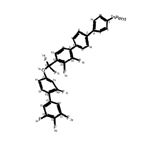 CCCCCc1ccc(-c2ccc(-c3ccc(C(F)(F)Oc4ccc(-c5cc(F)c(F)c(F)c5)c(F)c4)c(F)c3F)cc2)cc1